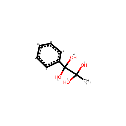 CC(O)(O)C(O)(O)c1ccccc1